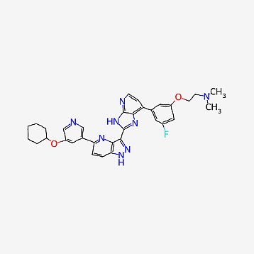 CN(C)CCOc1cc(F)cc(-c2ccnc3[nH]c(-c4n[nH]c5ccc(-c6cncc(OC7CCCCC7)c6)nc45)nc23)c1